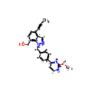 CC#Cc1ccc(CO)c2c1cnn2Cc1ccc(-c2ccnc(OC)n2)cc1